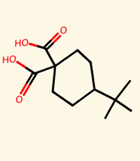 CC(C)(C)C1CCC(C(=O)O)(C(=O)O)CC1